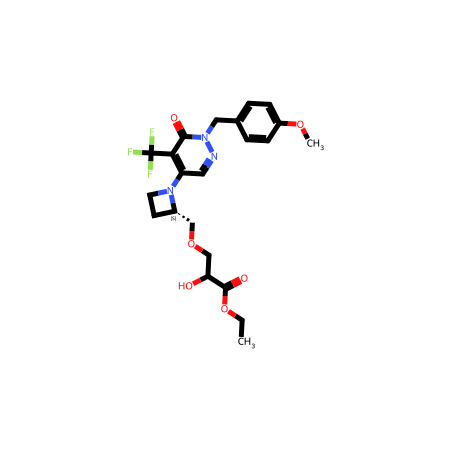 CCOC(=O)C(O)COC[C@@H]1CCN1c1cnn(Cc2ccc(OC)cc2)c(=O)c1C(F)(F)F